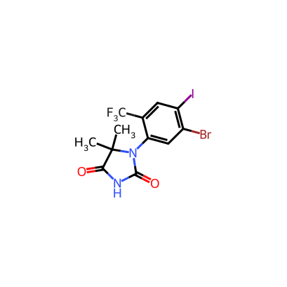 CC1(C)C(=O)NC(=O)N1c1cc(Br)c(I)cc1C(F)(F)F